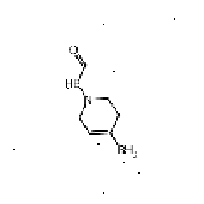 BC1=CCN(BC=O)CC1